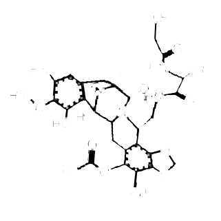 CCC(=O)N[C@@H](C)C(=O)NC[C@H]1c2c(c(OC(C)=O)c(C)c3c2OCO3)CC2[C@H]3c4c(cc(C)c(OC)c4O)C[C@@H]([C@H](O)N21)N3C